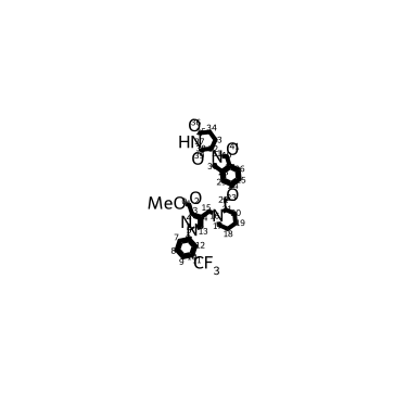 COC(=O)c1nn(-c2cccc(C(F)(F)F)c2)cc1CN1CCCC[C@@H]1COc1ccc2c(c1)CN(C1CCC(=O)NC1=O)C2=O